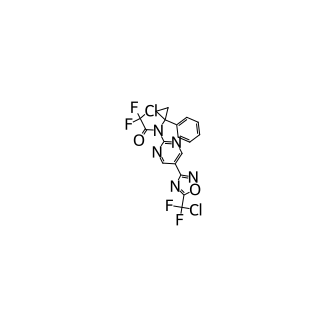 O=C(N(c1ncc(-c2noc(C(F)(F)Cl)n2)cn1)C1(c2ccccc2)CC1)C(F)(F)Cl